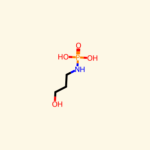 O=P(O)(O)NCCCO